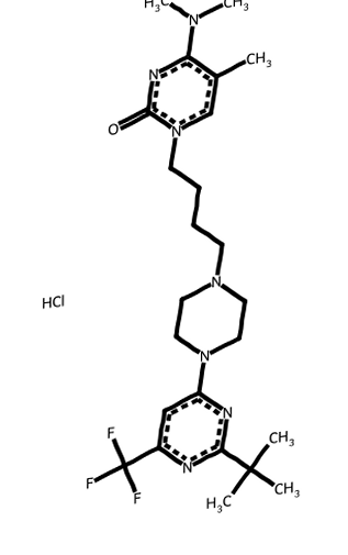 Cc1cn(CCCCN2CCN(c3cc(C(F)(F)F)nc(C(C)(C)C)n3)CC2)c(=O)nc1N(C)C.Cl